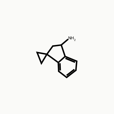 NC1CC2(CC2)c2ccccc21